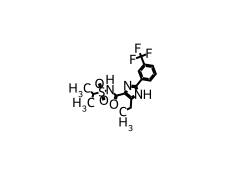 CCc1[nH]c(-c2cccc(C(F)(F)F)c2)nc1C(=O)NS(=O)(=O)C(C)C